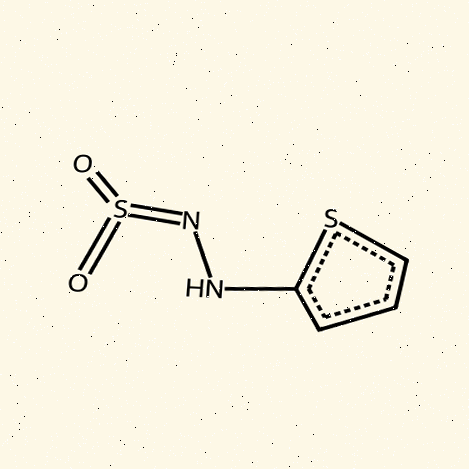 O=S(=O)=NNc1cccs1